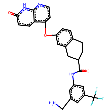 NCc1cc(NC(=O)C2CCc3ccc(Oc4ccnc5[nH]c(=O)ccc45)cc3C2)cc(C(F)(F)F)c1